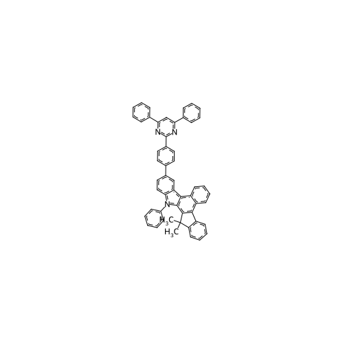 CC1(C)c2ccccc2-c2c1c1c(c3ccccc23)c2cc(-c3ccc(-c4nc(-c5ccccc5)cc(-c5ccccc5)n4)cc3)ccc2n1-c1ccccc1